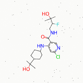 CC(C)(O)C(F)CNC(=O)c1cnc(Cl)cc1NC1CCC(C(C)(C)O)CC1